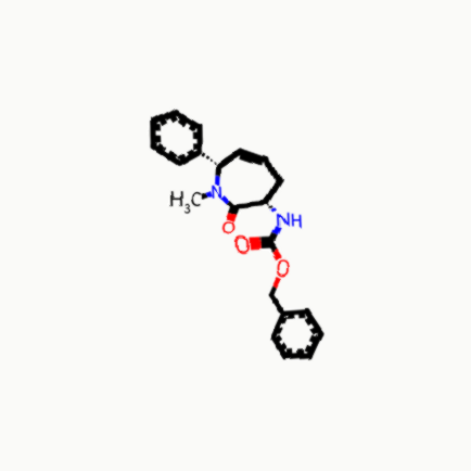 CN1C(=O)[C@@H](NC(=O)OCc2ccccc2)CC=C[C@H]1c1ccccc1